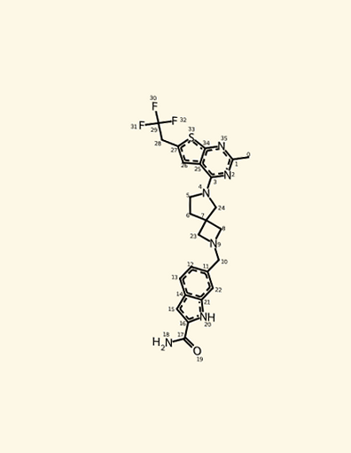 Cc1nc(N2CCC3(CN(Cc4ccc5cc(C(N)=O)[nH]c5c4)C3)C2)c2cc(CC(F)(F)F)sc2n1